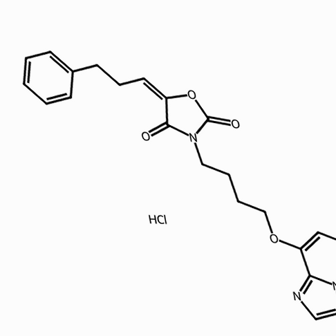 Cl.O=C1O/C(=C/CCc2ccccc2)C(=O)N1CCCCOc1cccn2ccnc12